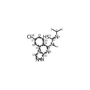 CC(C)/N=C(\S)N(C)c1nc2nncn2c2cc(Cl)ccc12